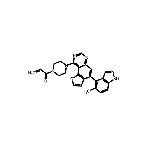 C=CC(=O)N1CCN(c2ncnc3cc(-c4c(C)ccc5[nH]ncc45)c4ccoc4c23)CC1